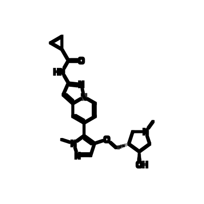 CN1C[C@@H](COc2cnn(C)c2-c2ccn3nc(NC(=O)C4CC4)cc3c2)[C@H](O)C1